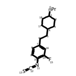 CCCC1CCC(CCc2ccc(N=C=S)c(F)c2)CC1